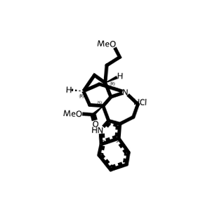 COCC[C@H]1C[C@H]2CN3CCc4c([nH]c5ccccc45)[C@](C(=O)OC)(C2)C13.Cl